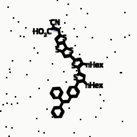 CCCCCCc1cc(-c2sc(C3=CC4Sc5cc(/C=C(/C#N)C(=O)O)sc5C4S3)cc2CCCCCC)sc1-c1ccc(C=C(c2ccccc2)c2ccccc2)cc1